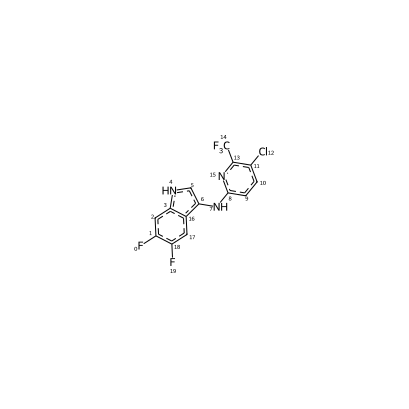 Fc1cc2[nH]cc(Nc3ccc(Cl)c(C(F)(F)F)n3)c2cc1F